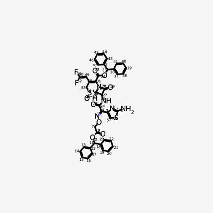 Nc1nc(/C(=N\OCC(=O)OC(c2ccccc2)c2ccccc2)C(=O)NC2C(=O)N3C(C(=O)OC(c4ccccc4)c4ccccc4)=C(C=C(F)F)C[S+]([O-])[C@H]23)cs1